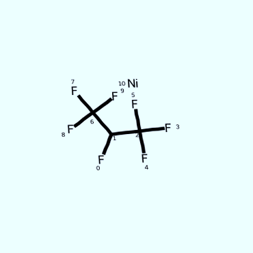 F[C](C(F)(F)F)C(F)(F)F.[Ni]